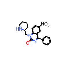 O=c1nc(-c2ccccc2)c2cc([N+](=O)[O-])ccc2n1CC1CCCCN1